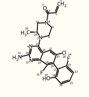 C=CC(=O)N1CCN(c2nc(N)nc3c(F)c(-c4c(O)cccc4F)c(Cl)cc23)[C@@H](C)C1